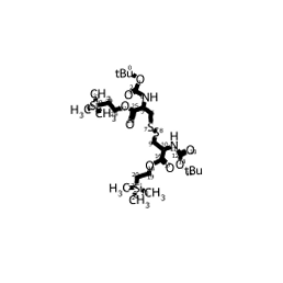 CC(C)(C)OC(=O)NC(CSSCC(NC(=O)OC(C)(C)C)C(=O)OCC[Si](C)(C)C)C(=O)OCC[Si](C)(C)C